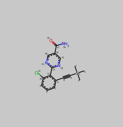 C[Si](C)(C)C#Cc1cccc(Cl)c1-c1ncc(C(N)=O)cn1